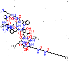 CCCCCCCCCCCC(=O)NCCC(=O)NCCCC[C@H](NC(=O)[C@H](CO)NC(C)=O)C(=O)N[C@@H](CO)C(=O)N[C@@H](CCCC)C(=O)N[C@@H](CCC(=O)O)C(=O)C1CC(O)C[C@H]1C(=O)NC(Cc1ccccc1)C(=O)N[C@@H](CCCNC(=N)N)C(=O)N[C@@H](Cc1c[nH]c2ccccc12)C(=O)NCC(=O)N[C@@H](CCCCN)C(=O)N1CCC[C@H]1C(=O)NC(C(N)=O)C(C)C